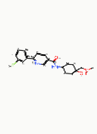 COCC1(O)CCC(NC(=O)c2ccc(-c3cccc(F)c3)nc2)CC1